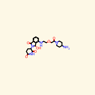 NC1CCN(C(=O)COCCNc2cccc3c2C(O)N(C2CCC(=O)NC2=O)C3=O)CC1